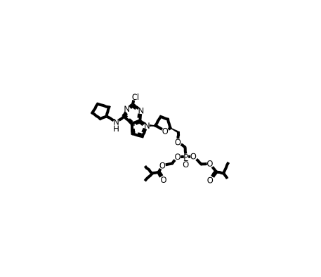 CC(C)C(=O)OCOP(=O)(COC[C@@H]1CC[C@H](n2ccc3c(NC4CCCC4)nc(Cl)nc32)O1)OCOC(=O)C(C)C